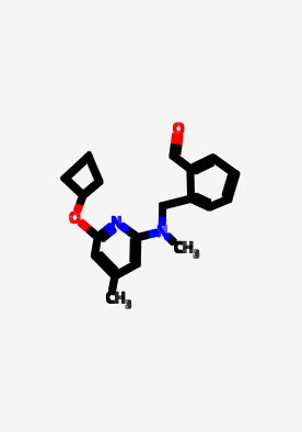 Cc1cc(OC2CCC2)nc(N(C)Cc2ccccc2C=O)c1